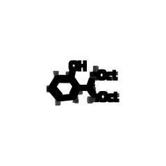 CCCCCCCCC(CCCCCCCC)c1ccccc1O